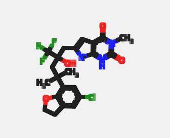 Cn1c(=O)[nH]c2c(c1=O)C=C(CC(O)(CC(C)(C)c1cc(Cl)cc3c1OCC3)C(F)(F)F)[N]2